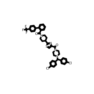 O=C(c1csc(C2CCN(C(=O)c3ccccc3-c3ccc(C(F)(F)F)cc3)CC2)n1)N1CCN(C(c2ccc(Cl)cc2)c2ccc(Cl)cc2)CC1